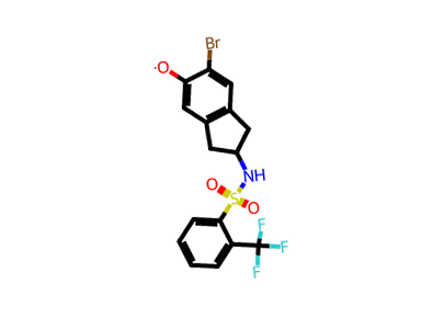 [O]c1cc2c(cc1Br)CC(NS(=O)(=O)c1ccccc1C(F)(F)F)C2